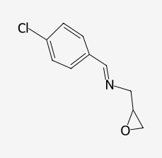 Clc1ccc(C=NCC2CO2)cc1